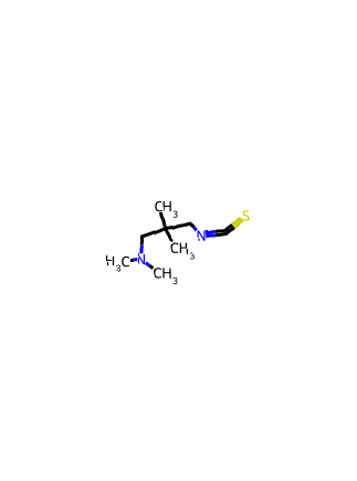 CN(C)CC(C)(C)CN=C=S